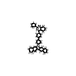 c1ccc(-c2nc(-c3ccc(-c4ccc(-n5c6cc7ccccc7cc6c6cc7ccccc7cc65)cc4)cc3)c3ccccc3n2)cc1